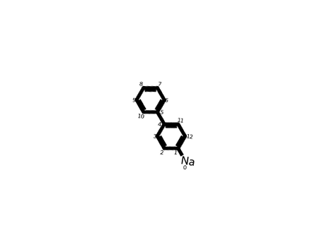 [Na][c]1ccc(-c2ccccc2)cc1